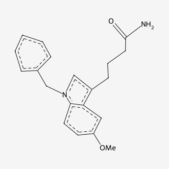 COc1ccc2c(c1)c(CCCC(N)=O)cn2Cc1ccccc1